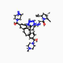 CC1[C@@H](C)CC(C#N)N1C(=O)CNCCC1(c2nnn[nH]2)c2ccc(C(=O)N3CCNCC3)cc2CCc2cc(C(=O)N3CCN(C)CC3)ccc21